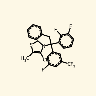 CC1=C(C)N(C(Cc2ccccc2)(c2cc(F)cc(C(F)(F)F)c2)c2cccc(F)c2F)CS1